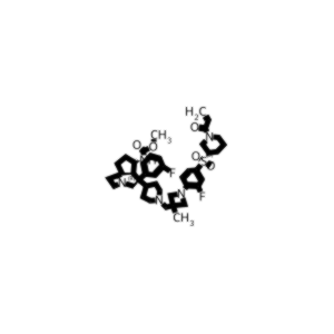 C=CC(=O)N1CCC[C@H](S(=O)(=O)c2ccc(N3CC(C)(CN4CCC([C@@](CN5CCC5)(c5cccc(F)c5)[C@H]5CCC[C@@H]5NC(=O)OC)CC4)C3)c(F)c2)C1